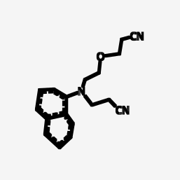 N#CCCOCCN(CCC#N)c1cccc2ccccc12